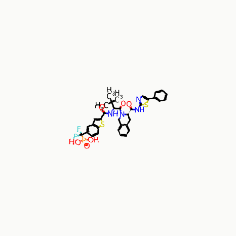 CC(C)(C)[C@H](NC(=O)c1cc2cc(C(F)(F)P(=O)(O)O)ccc2s1)C(=O)N1Cc2ccccc2C[C@H]1C(=O)Nc1ncc(-c2ccccc2)s1